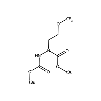 CC(C)(C)OC(=O)NN(CCOC(F)(F)F)C(=O)OC(C)(C)C